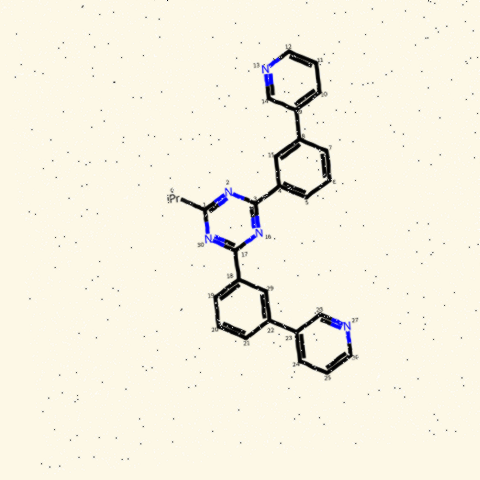 CC(C)c1nc(-c2cccc(-c3cccnc3)c2)nc(-c2cccc(-c3cccnc3)c2)n1